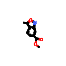 COC(=O)c1ccc2c(C)onc2c1